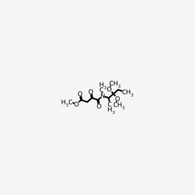 CCC(OC)(OC)C(C)N(C)C(=O)C(=O)CC(=O)OC